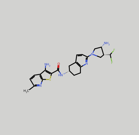 Cc1ccc2c(N)c(C(=O)N[C@H]3CCc4nc(N5C[C@H](N)[C@H](C(F)F)C5)ccc4C3)sc2n1